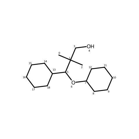 CC(C)(CO)C(OC1CCCCC1)C1CCCCC1